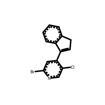 Clc1cnc(Br)cc1C1=CCc2ccccc21